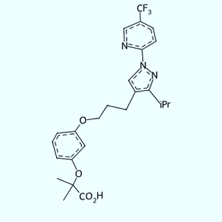 CC(C)c1nn(-c2ccc(C(F)(F)F)cn2)cc1CCCOc1cccc(OC(C)(C)C(=O)O)c1